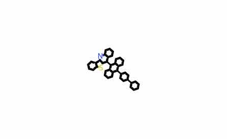 c1ccc(-c2ccc(-c3c4ccccc4c(-c4c5ccccc5nc5c4sc4ccccc45)c4ccccc34)cc2)cc1